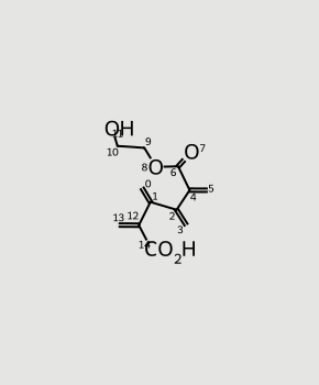 C=C(C(=C)C(=C)C(=O)OCCO)C(=C)C(=O)O